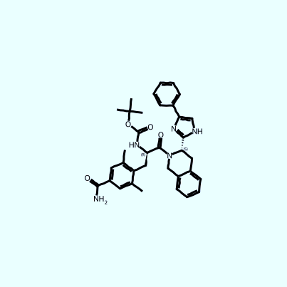 Cc1cc(C(N)=O)cc(C)c1C[C@@H](NC(=O)OC(C)(C)C)C(=O)N1Cc2ccccc2C[C@H]1c1nc(-c2ccccc2)c[nH]1